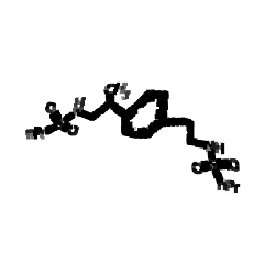 CCCS(=O)(=O)NCCc1ccc(C(C)CNS(=O)(=O)CCC)cc1